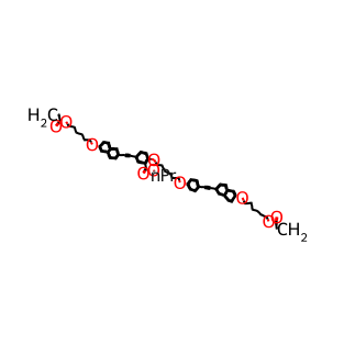 C=CC(=O)OCCCCCCOc1ccc2cc(C#Cc3ccc(OCCCCCCOc4ccc(C#Cc5ccc6cc(OCCCCCCOC(=O)C=C)ccc6c5)cc4C(=O)OCCC)cc3)ccc2c1